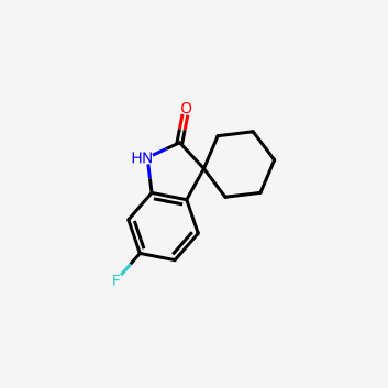 O=C1Nc2cc(F)ccc2C12CCCCC2